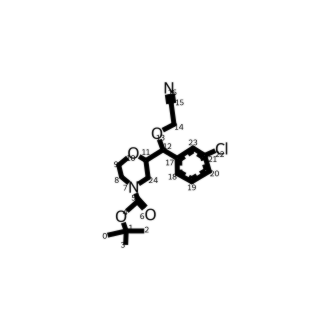 CC(C)(C)OC(=O)N1CCOC(C(OCC#N)c2cccc(Cl)c2)C1